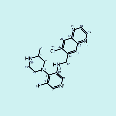 CC1CN(c2c(F)cncc2NCc2cc3nccnc3cc2Cl)CCN1